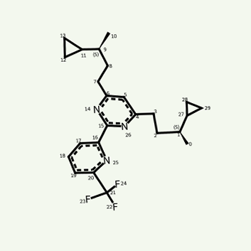 C[C@@H](CCc1cc(CC[C@H](C)C2CC2)nc(-c2cccc(C(F)(F)F)n2)n1)C1CC1